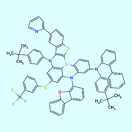 CC(C)(C)c1ccc(N(c2ccc3c(c2)N(c2cccc4c2oc2ccccc24)c2cc(Sc4cccc(C(F)(F)F)c4)cc4c2B3c2sc3ccc(-c5ccccn5)cc3c2N4c2ccc(C(C)(C)C)cc2)c2ccccc2-c2ccccc2)cc1